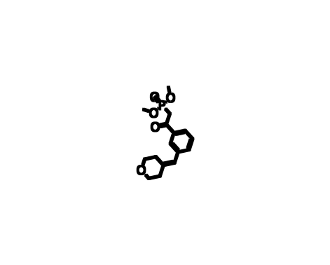 COP(=O)(CC(=O)c1cccc(C=C2CCOCC2)c1)OC